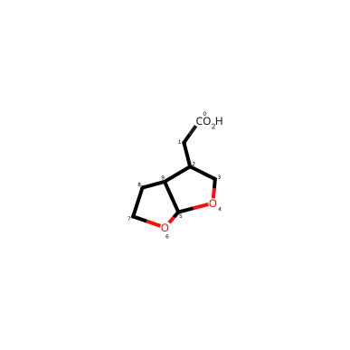 O=C(O)CC1COC2OCCC12